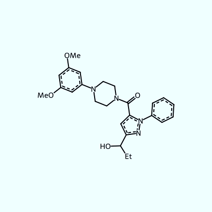 CCC(O)c1cc(C(=O)N2CCN(c3cc(OC)cc(OC)c3)CC2)n(-c2ccccc2)n1